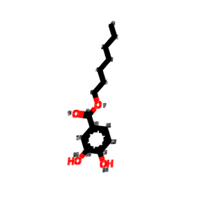 CCCCCCCOC(=O)c1ccc(O)c(O)c1